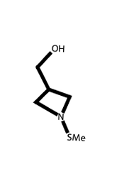 CSN1CC(CO)C1